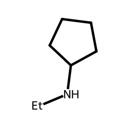 CCNC1CCCC1